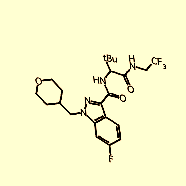 CC(C)(C)C(NC(=O)c1nn(CC2CCOCC2)c2cc(F)ccc12)C(=O)NCC(F)(F)F